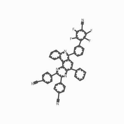 N#Cc1ccc(-c2nc3c(-c4ccccc4)cc4c(-c5cccc(-c6c(F)c(F)c(C#N)c(F)c6F)c5)nc5ccccc5c4c3nc2-c2ccc(C#N)cc2)cc1